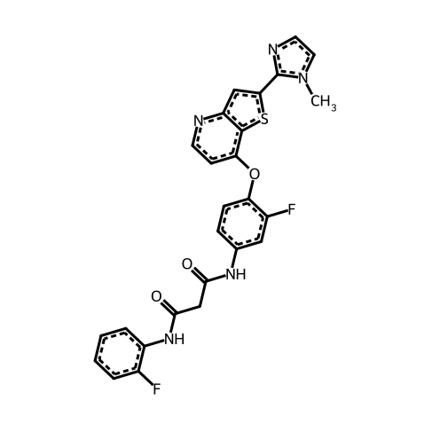 Cn1ccnc1-c1cc2nccc(Oc3ccc(NC(=O)CC(=O)Nc4ccccc4F)cc3F)c2s1